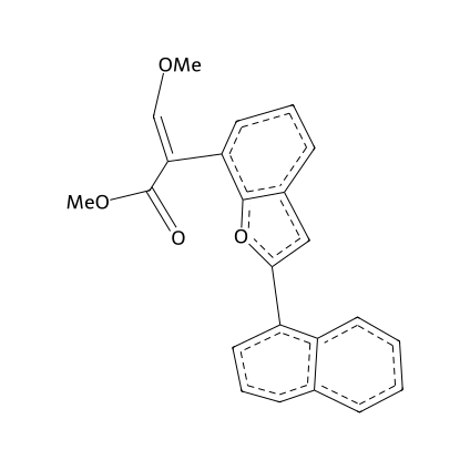 CO/C=C(/C(=O)OC)c1cccc2cc(-c3cccc4ccccc34)oc12